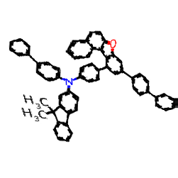 CC1(C)c2ccccc2-c2ccc(N(c3ccc(-c4ccccc4)cc3)c3ccc(-c4cc(-c5ccc(-c6ccccc6)cc5)cc5oc6ccc7ccccc7c6c45)cc3)cc21